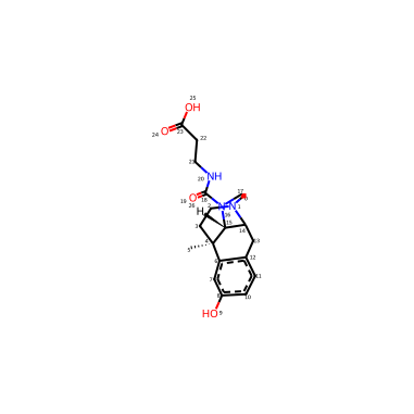 CN1CC[C@]2(C)c3cc(O)ccc3CC1[C@H]2N(C)C(=O)NCCC(=O)O